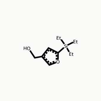 CC[Si](CC)(CC)c1cc(CO)co1